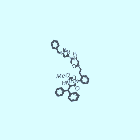 COC(=O)NC(C(=O)Nc1ccccc1CC[C@@H]1CN[C@H](c2cn(Cc3ccccc3)nn2)CO1)C(c1ccccc1)c1ccccc1